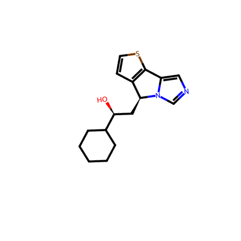 O[C@@H](C[C@H]1c2ccsc2-c2cncn21)C1CCCCC1